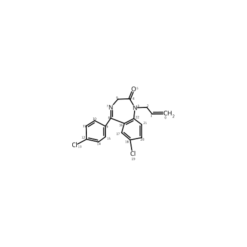 C=CCN1C(=O)CN=C(c2ccc(Cl)cc2)c2cc(Cl)ccc21